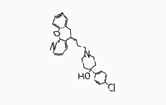 OC1(c2ccc(Cl)cc2)CCN(CC/C=C2/Cc3ccccc3Oc3ncccc32)CC1